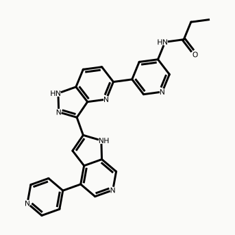 CCC(=O)Nc1cncc(-c2ccc3[nH]nc(-c4cc5c(-c6ccncc6)cncc5[nH]4)c3n2)c1